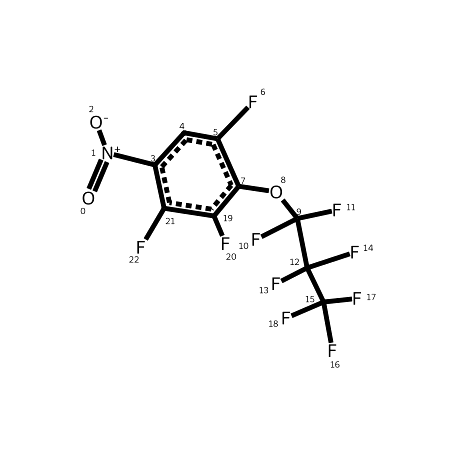 O=[N+]([O-])c1cc(F)c(OC(F)(F)C(F)(F)C(F)(F)F)c(F)c1F